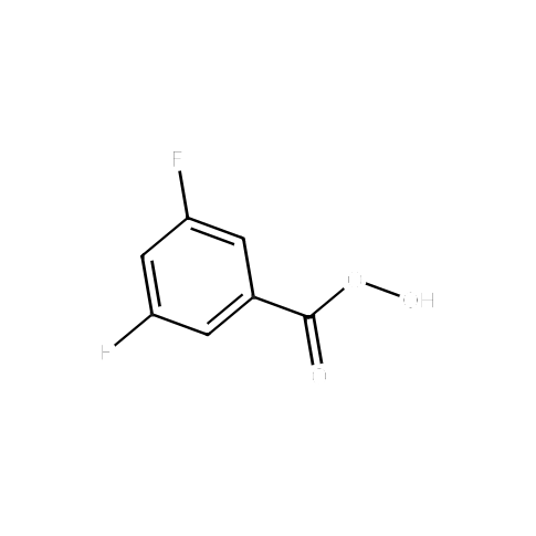 O=C(OO)c1cc(F)cc(F)c1